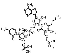 C=CCCC(=O)N(C)[C@@H](COC[C@H](C)O)C(=O)O[C@H]1[C@@H](O)[C@H](n2cnc3c(N)ncnc32)O[C@@H]1COP(=O)(O)O[C@H]1[C@@H](O)[C@H](n2ccc(N)nc2=O)O[C@@H]1COP(=O)(O)O